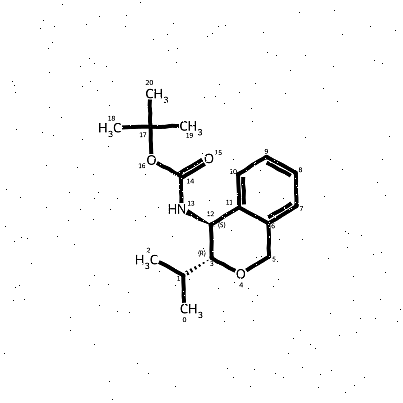 CC(C)[C@H]1OCc2ccccc2[C@@H]1NC(=O)OC(C)(C)C